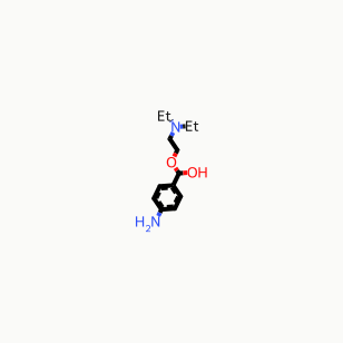 CCN(CC)CCOC(O)c1ccc(N)cc1